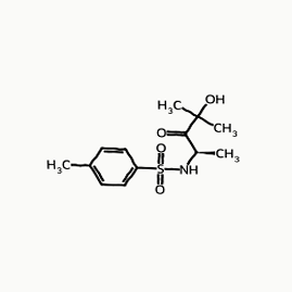 Cc1ccc(S(=O)(=O)N[C@H](C)C(=O)C(C)(C)O)cc1